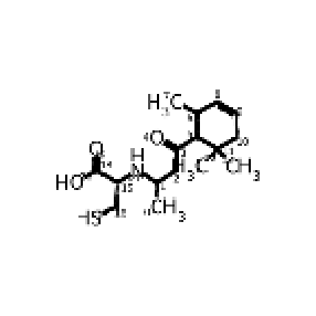 CC(CC(=O)C1C(C)C=CCC1(C)C)N[C@@H](CS)C(=O)O